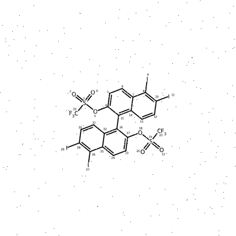 O=S(=O)(Oc1ccc2c(I)c(I)ccc2c1-c1c(OS(=O)(=O)C(F)(F)F)ccc2c(I)c(I)ccc12)C(F)(F)F